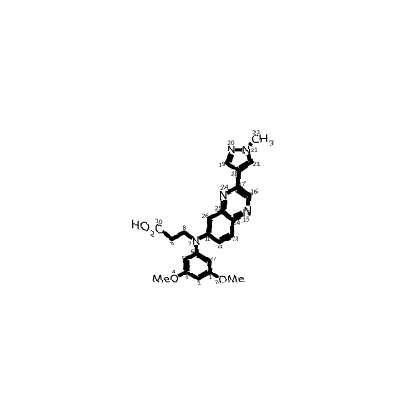 COc1cc(OC)cc(N(CCC(=O)O)c2ccc3ncc(-c4cnn(C)c4)nc3c2)c1